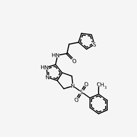 Cc1ccccc1S(=O)(=O)N1Cc2n[nH]c(NC(=O)Cc3ccsc3)c2C1